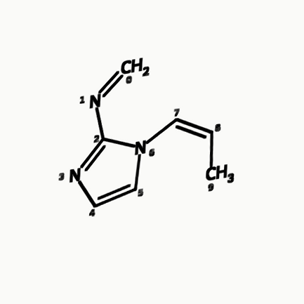 C=Nc1nccn1/C=C\C